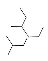 [CH2]CN(CC(C)C)C(C)CC